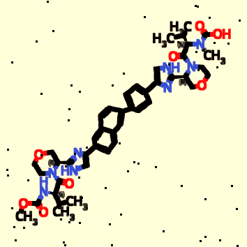 COC(=O)N[C@H](C(=O)N1CCOC[C@H]1c1nc(-c2ccc3cc(-c4ccc(-c5c[nH]c([C@@H]6COCCN6C(=O)[C@H](C(C)C)N(C)C(=O)O)n5)cc4)ccc3c2)c[nH]1)C(C)C